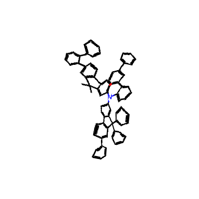 CC1(C)c2cc(-c3ccccc3-c3ccccc3)ccc2-c2ccc(N(c3ccc4c(c3)C(c3ccccc3)(c3ccccc3)c3cc(-c5ccccc5)ccc3-4)c3ccccc3-c3cccc(-c4ccccc4)c3)cc21